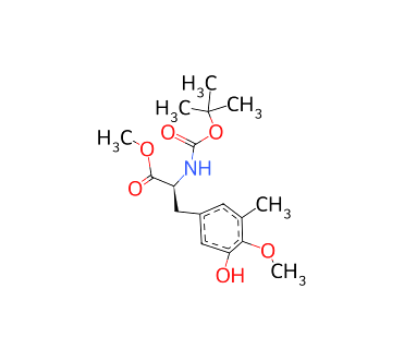 COC(=O)[C@H](Cc1cc(C)c(OC)c(O)c1)NC(=O)OC(C)(C)C